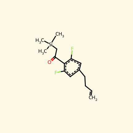 C=CCCc1cc(F)c(C(=O)C[Si](C)(C)C)c(F)c1